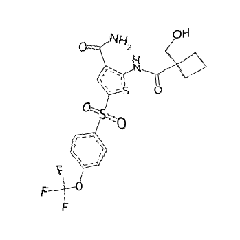 NC(=O)c1cc(S(=O)(=O)c2ccc(OC(F)(F)F)cc2)sc1NC(=O)C1(CO)CCC1